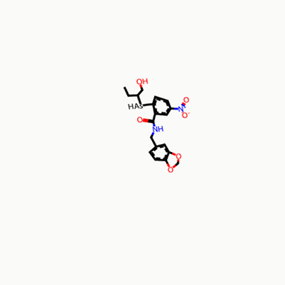 CCC(CO)[AsH]c1ccc([N+](=O)[O-])cc1C(=O)NCc1ccc2c(c1)OCO2